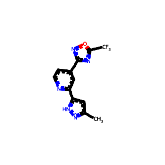 Cc1cc(-c2cc(-c3noc(C(F)(F)F)n3)ccn2)[nH]n1